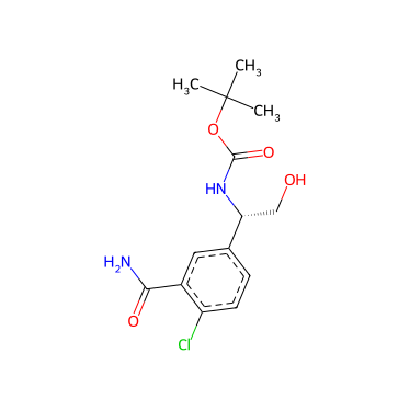 CC(C)(C)OC(=O)N[C@H](CO)c1ccc(Cl)c(C(N)=O)c1